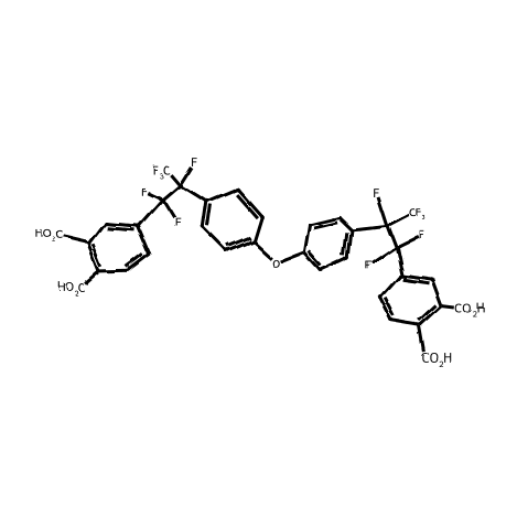 O=C(O)c1ccc(C(F)(F)C(F)(c2ccc(Oc3ccc(C(F)(C(F)(F)F)C(F)(F)c4ccc(C(=O)O)c(C(=O)O)c4)cc3)cc2)C(F)(F)F)cc1C(=O)O